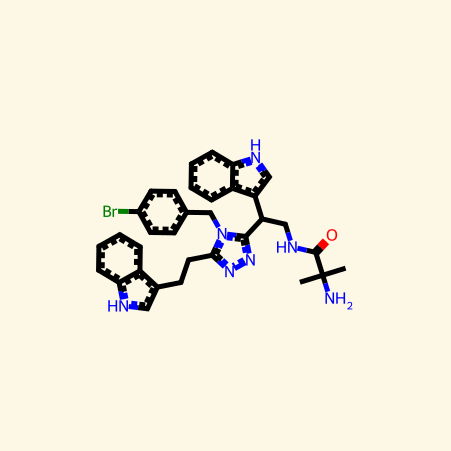 CC(C)(N)C(=O)NCC(c1c[nH]c2ccccc12)c1nnc(CCc2c[nH]c3ccccc23)n1Cc1ccc(Br)cc1